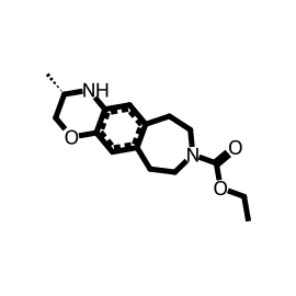 CCOC(=O)N1CCc2cc3c(cc2CC1)OC[C@H](C)N3